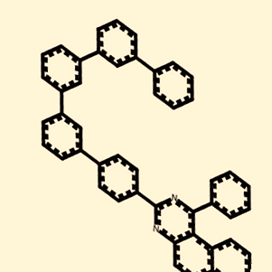 c1ccc(-c2cccc(-c3cccc(-c4cccc(-c5ccc(-c6nc(-c7ccccc7)c7c(ccc8ccccc87)n6)cc5)c4)c3)c2)cc1